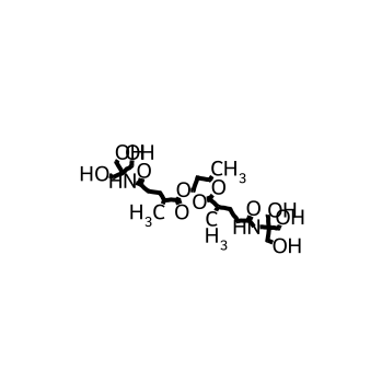 CC(CCOC(=O)C(C)CCC(=O)NC(CO)(CO)CO)OC(=O)C(C)CCC(=O)NC(CO)(CO)CO